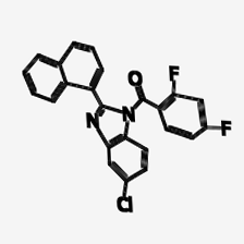 O=C(c1ccc(F)cc1F)n1c(-c2cccc3ccccc23)nc2cc(Cl)ccc21